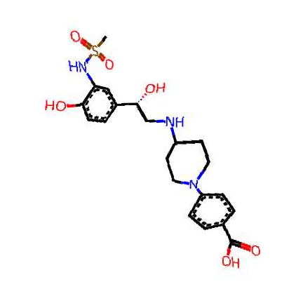 CS(=O)(=O)Nc1cc([C@H](O)CNC2CCN(c3ccc(C(=O)O)cc3)CC2)ccc1O